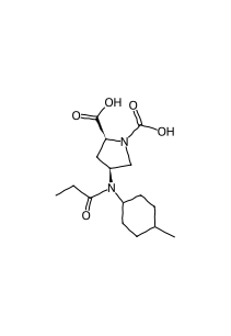 CCC(=O)N(C1CCC(C)CC1)[C@H]1C[C@@H](C(=O)O)N(C(=O)O)C1